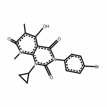 Cc1c(O)c2c(=O)n(-c3ccc(Br)cc3)c(=O)n(C3CC3)c2n(C)c1=O